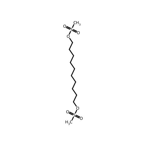 CS(=O)(=O)OCCCCCCCCCCOS(C)(=O)=O